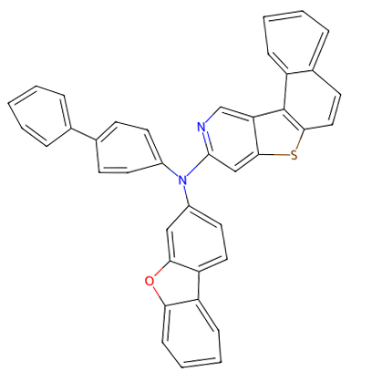 c1ccc(-c2ccc(N(c3ccc4c(c3)oc3ccccc34)c3cc4sc5ccc6ccccc6c5c4cn3)cc2)cc1